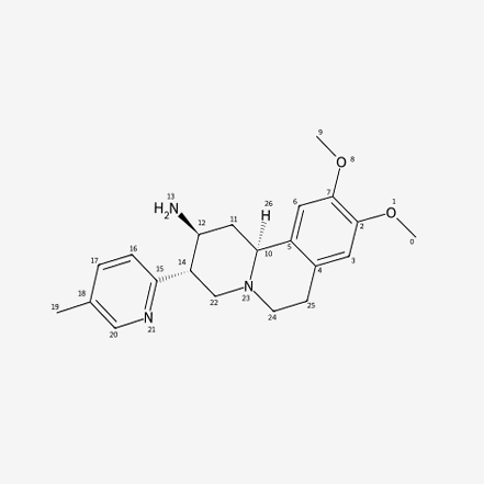 COc1cc2c(cc1OC)[C@@H]1C[C@H](N)[C@@H](c3ccc(C)cn3)CN1CC2